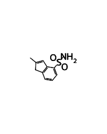 CC1=Cc2c(cccc2S(N)(=O)=O)C1